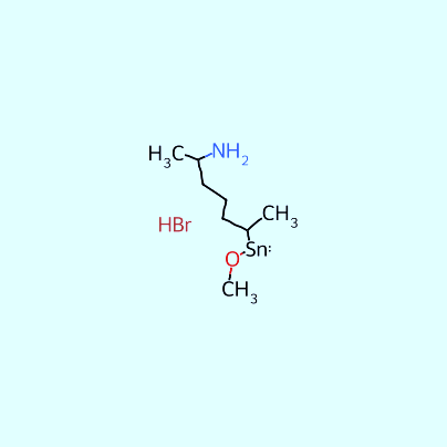 Br.C[O][Sn][CH](C)CCCC(C)N